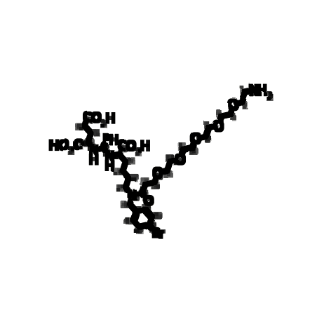 NCCOCCOCCOCCOCCOCCC(=O)N(CCCC[C@H](NC(=P)N[C@@H](CCC(=O)O)C(=O)O)C(=O)O)Cc1ccc(Br)cc1